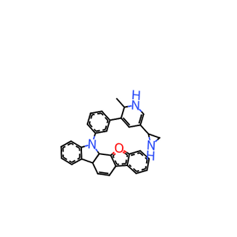 CC1NC=C(C2CN2)C=C1c1cccc(N2c3ccccc3C3C=Cc4c(oc5ccccc45)C32)c1